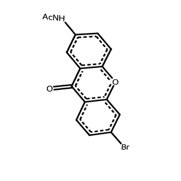 CC(=O)Nc1ccc2oc3cc(Br)ccc3c(=O)c2c1